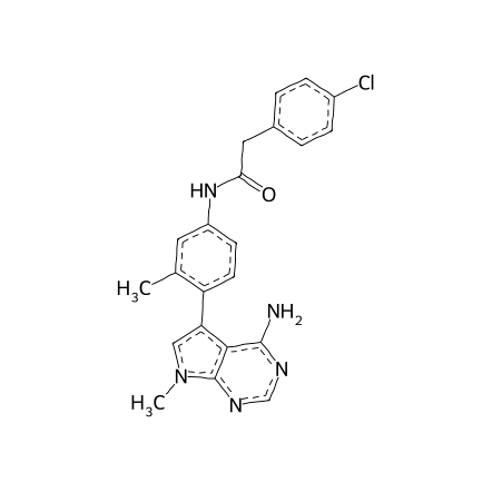 Cc1cc(NC(=O)Cc2ccc(Cl)cc2)ccc1-c1cn(C)c2ncnc(N)c12